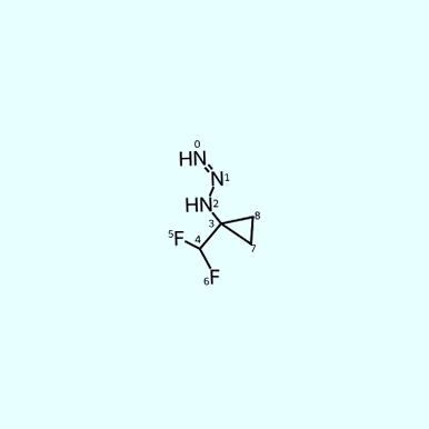 N=NNC1(C(F)F)CC1